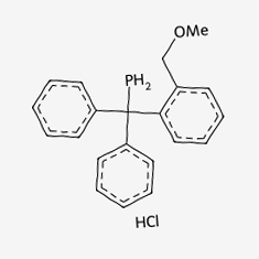 COCc1ccccc1C(P)(c1ccccc1)c1ccccc1.Cl